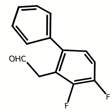 O=CCc1c(-c2ccccc2)ccc(F)c1F